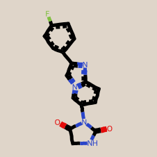 O=C1CNC(=O)N1c1ccc2nc(-c3ccc(F)cc3)cn2c1